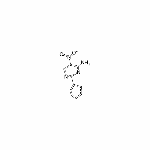 Nc1nc(-c2ccccc2)ncc1[N+](=O)[O-]